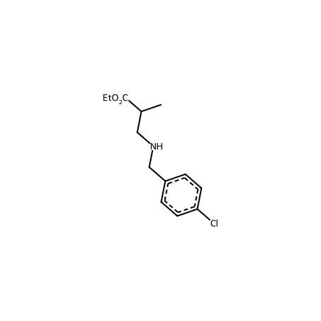 CCOC(=O)C(C)CNCc1ccc(Cl)cc1